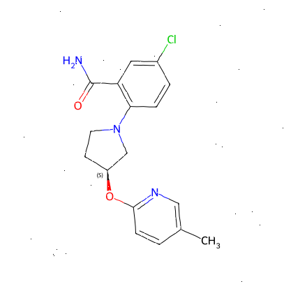 Cc1ccc(O[C@H]2CCN(c3ccc(Cl)cc3C(N)=O)C2)nc1